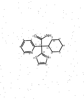 NC(=O)C(c1ccccn1)(c1nccs1)C1CCCCC1